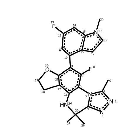 Cc1nnc2n1-c1c(F)c(-c3cc(F)cc4c3ccn4C)c3c(c1NC2(C)C)CCO3